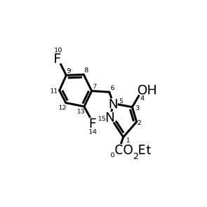 CCOC(=O)c1cc(O)n(Cc2cc(F)ccc2F)n1